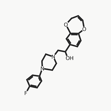 OC(CN1CCN(c2ccc(F)cc2)CC1)c1ccc2c(c1)OCC=CO2